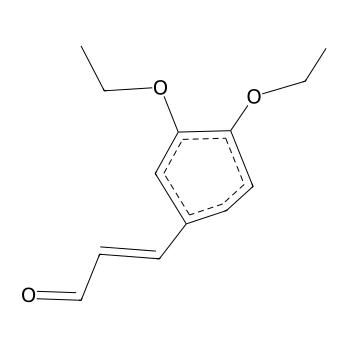 CCOc1ccc(/C=C/C=O)cc1OCC